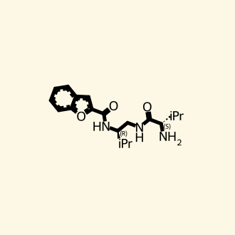 CC(C)[C@H](CNC(=O)[C@@H](N)C(C)C)NC(=O)c1cc2ccccc2o1